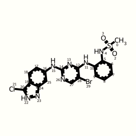 CS(=O)(=O)Nc1ccccc1Nc1nc(Nc2ccc3c(Cl)[nH]nc3c2)ncc1Br